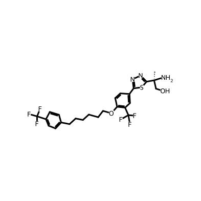 C[C@](N)(CO)c1nnc(-c2ccc(OCCCCCCc3ccc(C(F)(F)F)cc3)c(C(F)(F)F)c2)s1